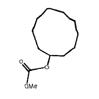 COC(=O)OC1CCCCCCCCC1